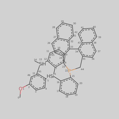 COc1ccc([Si@H](c2ccccc2[SiH](C)C)c2ccccc2P2Cc3ccc4ccccc4c3-c3c(ccc4ccccc34)C2)cc1